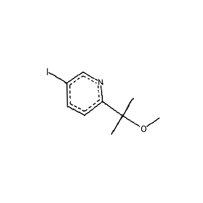 COC(C)(C)c1ccc(I)cn1